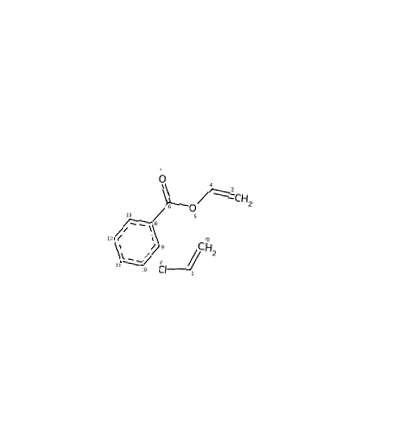 C=CCl.C=COC(=O)c1ccccc1